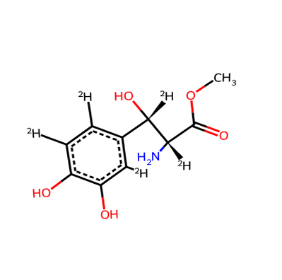 [2H]c1c([2H])c([C@]([2H])(O)[C@@]([2H])(N)C(=O)OC)c([2H])c(O)c1O